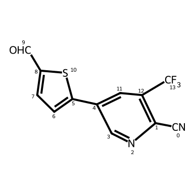 N#Cc1ncc(-c2ccc(C=O)s2)cc1C(F)(F)F